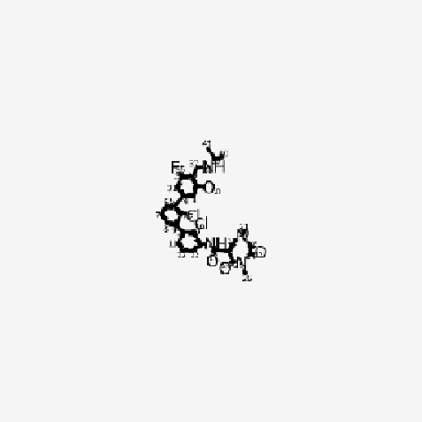 COc1cc(-c2cccc(-c3cccc(NC(=O)C4=CN(C)C5OC5N(C)C4=O)c3Cl)c2Cl)cc(F)c1CNC(C)C